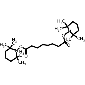 CC1(C)CCCC(C)(C)N1OC(=O)CCCCCCC(=O)ON1C(C)(C)CCCC1(C)C